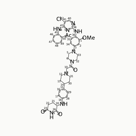 COc1cc(N2CCN(C(=O)CN3CCC(c4ccc(NC5CCC(=O)NC5=O)cc4)CC3)CC2)ccc1Nc1ncc(Cl)c(Nc2ccccc2C(C)=O)n1